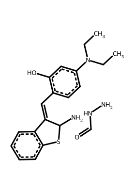 CCN(CC)c1ccc(C=C2c3ccccc3SC2N)c(O)c1.NNC=O